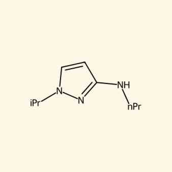 CCCNc1ccn(C(C)C)n1